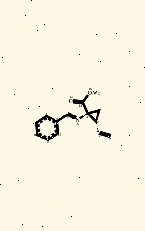 C=C[C@H]1C[C@@]1(N=Cc1ccccc1)C(=O)OC